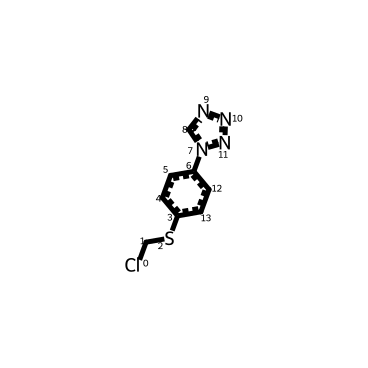 ClCSc1ccc(-n2cnnn2)cc1